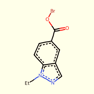 CCn1ncc2cc(C(=O)OBr)ccc21